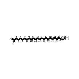 CC(C)CCCCCCCCCCCCCCCCCCCCCCO